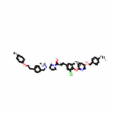 Cc1ccc(COc2ccc(Oc3c(C)cc(/C=C/C(=O)N4CC[C@H](N(C)Cc5ccc(CCOc6ccc(C(C)C)cc6)cc5)C4)cc3Cl)nc2)cc1